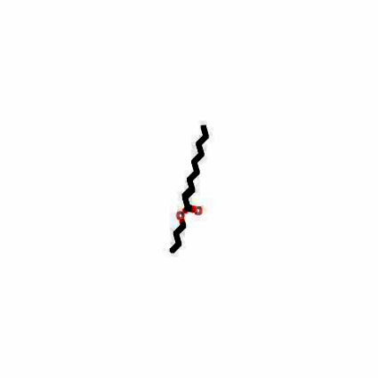 CCCCCCCC=CC(=O)OCCCC